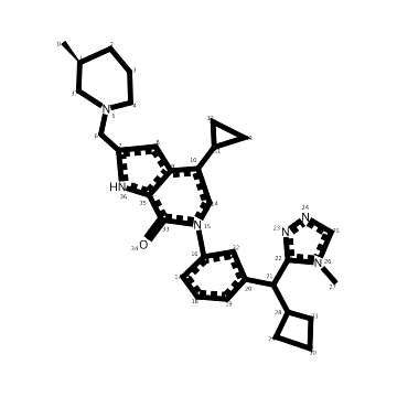 C[C@H]1CCCN(Cc2cc3c(C4CC4)cn(-c4cccc(C(c5nncn5C)C5CCC5)c4)c(=O)c3[nH]2)C1